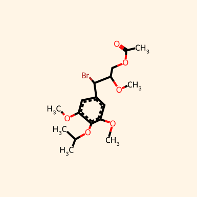 COc1cc(C(Br)C(COC(C)=O)OC)cc(OC)c1OC(C)C